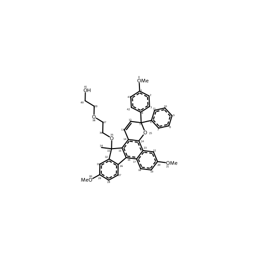 COc1ccc(C2(c3ccccc3)C=Cc3c4c(c5ccc(OC)cc5c3O2)-c2ccc(OC)cc2C4(C)OCCOCCO)cc1